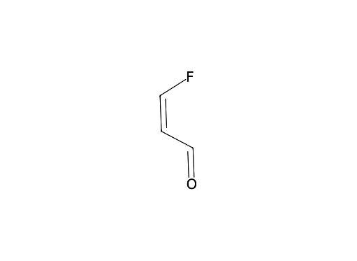 O=C/C=C\F